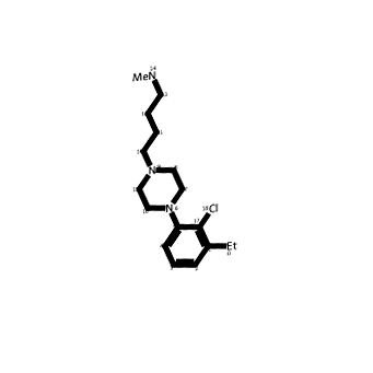 CCc1cccc(N2CCN(CCCCNC)CC2)c1Cl